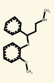 CNCCC(Sc1ccccc1OC)c1ccccc1